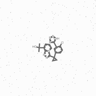 CC(C)(O)c1cccn2c(C3(c4ccc(Cl)c(-c5nnn[nH]5)c4)CC3)nnc12